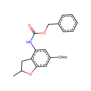 COc1cc(NC(=O)OCc2ccccc2)c2c(c1)OC(C)C2